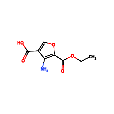 CCOC(=O)c1occ(C(=O)O)c1N